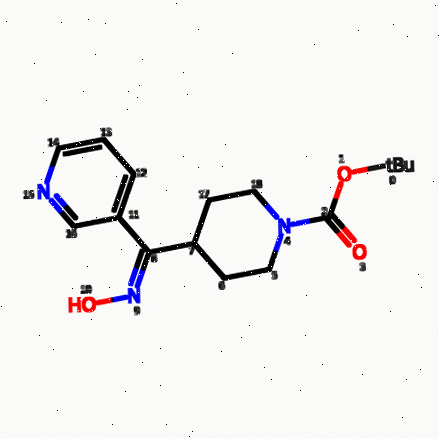 CC(C)(C)OC(=O)N1CCC(C(=NO)c2cccnc2)CC1